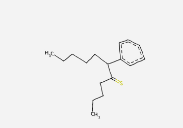 CCCCC[C](C(=S)CCCC)c1ccccc1